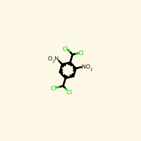 O=[N+]([O-])c1cc(C(Cl)Cl)cc([N+](=O)[O-])c1C(Cl)Cl